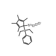 CC[Si](CC)(c1ccccc1)[C]1([Ti+3])C(C)=C(C)C(C)=C1C.[Cl-].[Cl-].[Cl-]